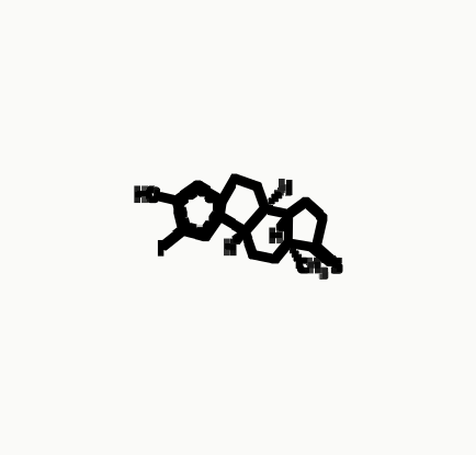 C[C@]12CC[C@@H]3c4cc(I)c(O)cc4CC[C@H]3[C@@H]1CCC2=S